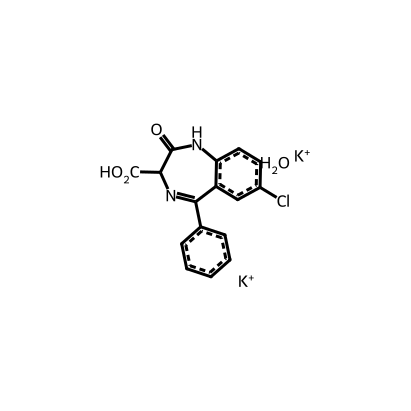 O.O=C(O)C1N=C(c2ccccc2)c2cc(Cl)ccc2NC1=O.[K+].[K+]